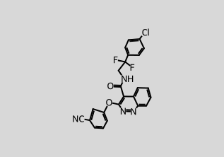 N#Cc1cccc(Oc2nnc3ccccc3c2C(=O)NCC(F)(F)c2ccc(Cl)cc2)c1